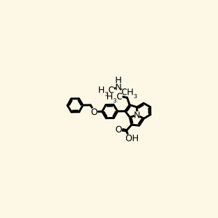 CCc1c(-c2ccc(OCc3ccccc3)cc2)c2c(C(=O)O)cc3cccc1n32.CNC